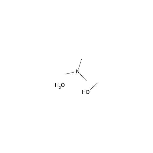 CN(C)C.CO.O